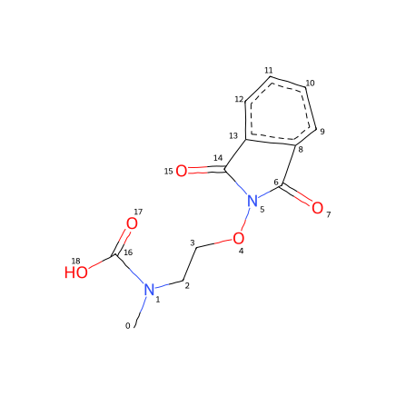 CN(CCON1C(=O)c2ccccc2C1=O)C(=O)O